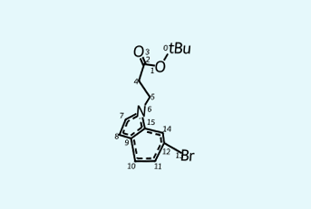 CC(C)(C)OC(=O)CCn1ccc2ccc(Br)cc21